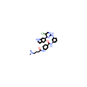 CN(C)CCCC(=O)Nc1ccc(C(=O)Nc2cccc(Nc3ncc(Cl)c(-c4ccc5cc[nH]c5c4)n3)c2)cc1